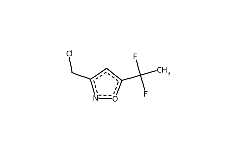 CC(F)(F)c1cc(CCl)no1